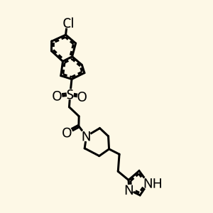 O=C(CCS(=O)(=O)c1ccc2cc(Cl)ccc2c1)N1CCC(CCc2c[nH]cn2)CC1